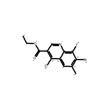 CCOC(=O)c1cnc2c(F)c(Br)c(C)cc2c1Cl